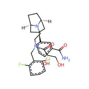 NC(=O)c1cccc([C@H]2C[C@H]3CC[C@@H](C2)N3CCN(Cc2c(F)cccc2F)C(=O)[C@@H](O)CO)c1